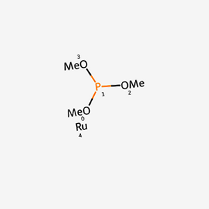 COP(OC)OC.[Ru]